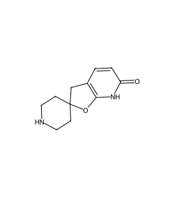 O=c1ccc2c([nH]1)OC1(CCNCC1)C2